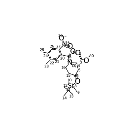 COC(=O)[C@@H]1C[C@H](O[Si](C)(C)C(C)(C)C)CCN1C(=O)c1cc(C)c(C)cc1[N+](=O)[O-]